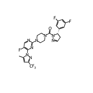 Cc1cc(C(F)(F)F)nn1-c1nc(N2CCN(C(=O)N3N=CC[C@H]3c3cc(F)cc(F)c3)CC2)ncc1F